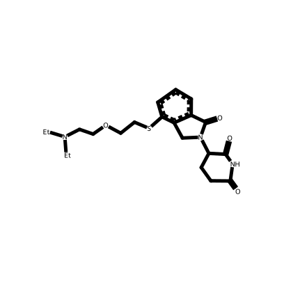 CCN(CC)CCOCCSc1cccc2c1CN(C1CCC(=O)NC1=O)C2=O